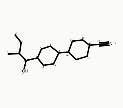 CCC(C)C(O)C1CCC(C2CCC(C#N)CC2)CC1